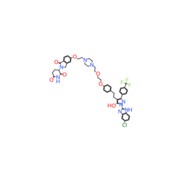 O=C1CCC(N2Cc3cc(OCCN4CCN(CCOCCOc5ccc(CCc6c(-c7ccc(C(F)(F)F)cc7)nn(-c7nc8cc(Cl)ccc8[nH]7)c6O)cc5)CC4)ccc3C2=O)C(=O)N1